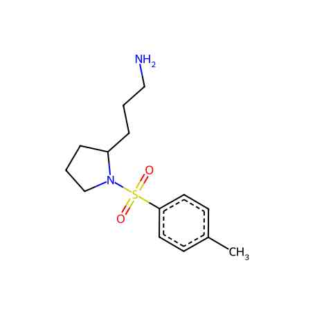 Cc1ccc(S(=O)(=O)N2CCCC2CCCN)cc1